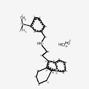 CN(C)c1cccc(CNCCc2c3c(n4ccccc24)CCCC3)c1.Cl.Cl